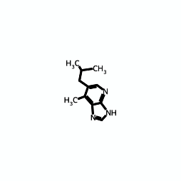 Cc1c(CC(C)C)cnc2[nH]cnc12